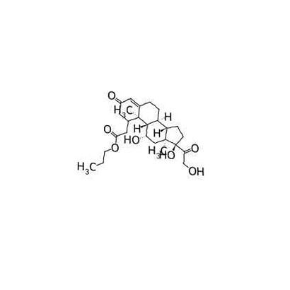 CCCOC(=O)CC1CC(=O)C=C2CC[C@@H]3[C@H]([C@@H](O)C[C@@]4(C)[C@H]3CC[C@]4(O)C(=O)CO)[C@]21C